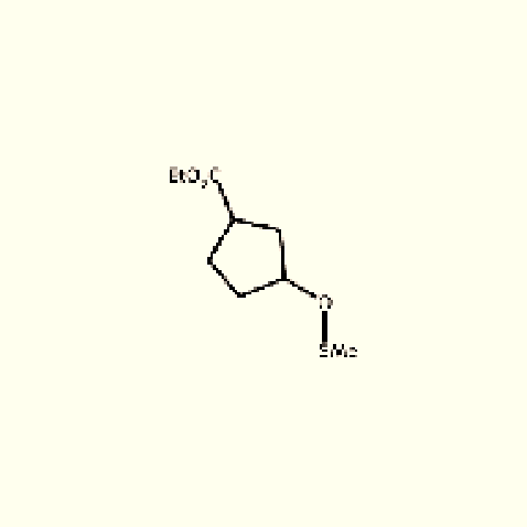 CCOC(=O)C1CCC(OSC)C1